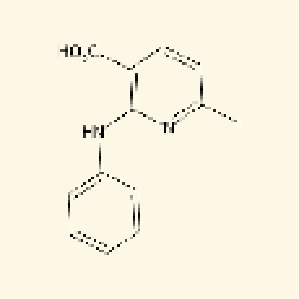 O=C(O)c1ccc(I)nc1Nc1ccccc1